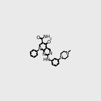 CN1CCN(c2cccc(Nc3ncc4c(=O)c(C(N)=O)cn(-c5ccccc5)c4n3)c2)CC1